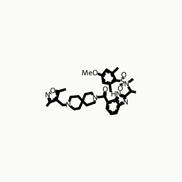 COc1cc(C)c(S(=O)(=O)N(C)C(C)c2nc3cccc(C(=O)N4CCC5(CCN(Cc6c(C)noc6C)CC5)CC4)c3[nH]2)c(C)c1